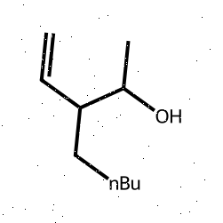 C=CC(CCCCC)C(C)O